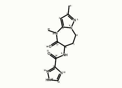 Cc1cc2n(n1)CCC(NC(=O)c1nc[nH]n1)C(=O)N2C